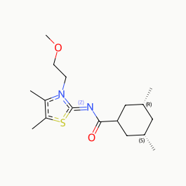 COCCn1c(C)c(C)s/c1=N\C(=O)C1C[C@@H](C)C[C@@H](C)C1